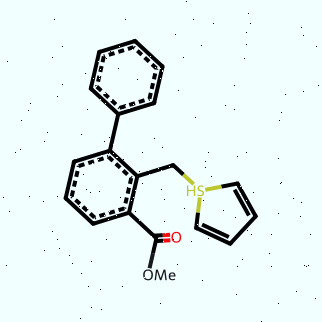 COC(=O)c1cccc(-c2ccccc2)c1C[SH]1C=CC=C1